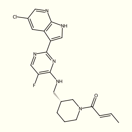 C/C=C/C(=O)N1CCC[C@H](CNc2nc(-c3c[nH]c4ncc(Cl)cc34)ncc2F)C1